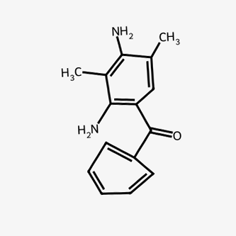 Cc1cc(C(=O)c2ccccc2)c(N)c(C)c1N